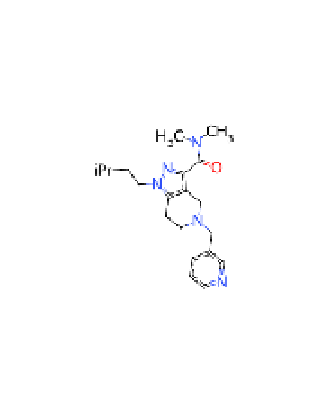 CC(C)CCn1nc(C(=O)N(C)C)c2c1CCN(Cc1cccnc1)C2